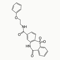 O=C(NCCOc1ccccc1)c1ccc2c(c1)NC(=O)c1ccccc1S2(=O)=O